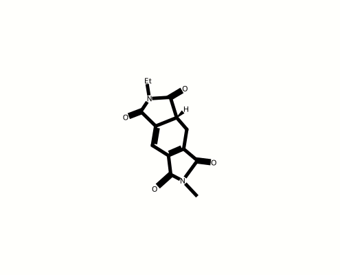 CCN1C(=O)C2=CC3=C(C[C@H]2C1=O)C(=O)N(C)C3=O